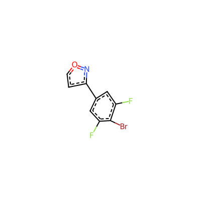 Fc1cc(-c2ccon2)cc(F)c1Br